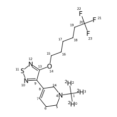 [2H]C([2H])([2H])N1CCC=C(c2nsnc2OCCCCCC(F)(F)F)C1